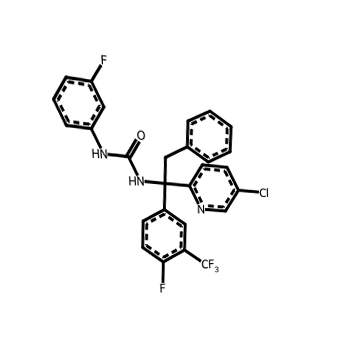 O=C(Nc1cccc(F)c1)NC(Cc1ccccc1)(c1ccc(F)c(C(F)(F)F)c1)c1ccc(Cl)cn1